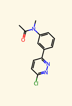 CC(=O)N(C)c1cccc(-c2ccc(Cl)nn2)c1